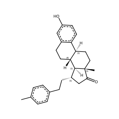 Cc1ccc(CC[C@H]2CC(=O)[C@@]3(C)CC[C@@H]4c5ccc(O)cc5CC[C@H]4[C@H]23)cc1